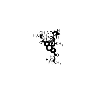 C[C@H](CC1(c2nnn[nH]2)c2ccc(C(=O)NCC(C)(C)O)cc2CCc2cc(C(=O)NCC(C)(C)O)ccc21)NCC(=O)N1C(C#N)C[C@@H]2C[C@@H]21